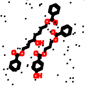 O=C(OCCCCC(O)CCCOC(=O)c1ccccc1)c1ccccc1.O=C(OCCCOC(=O)c1ccc(O)cc1)c1ccccc1